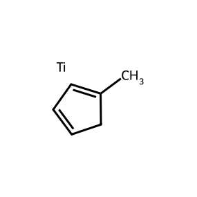 CC1=CC=CC1.[Ti]